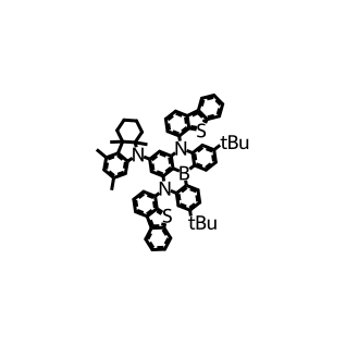 Cc1cc(C)c2c(c1)N(c1cc3c4c(c1)N(c1cccc5c1sc1ccccc15)c1cc(C(C)(C)C)ccc1B4c1ccc(C(C)(C)C)cc1N3c1cccc3c1sc1ccccc13)C1(C)CCCCC21C